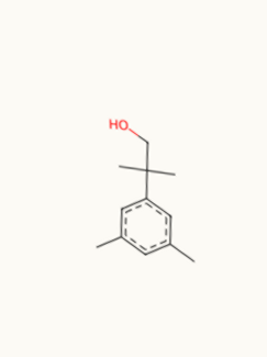 Cc1cc(C)cc(C(C)(C)CO)c1